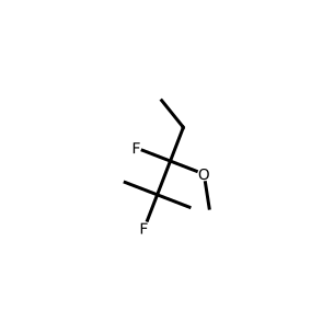 CCC(F)(OC)C(C)(C)F